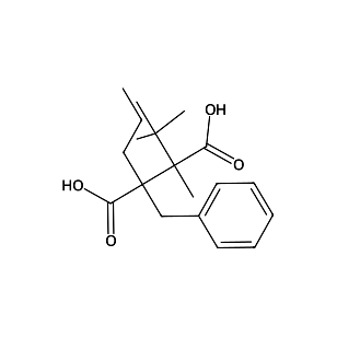 CCCC(Cc1ccccc1)(C(=O)O)C(C)(C(=O)O)C(C)(C)C